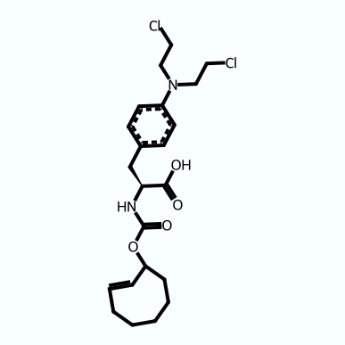 O=C(N[C@@H](Cc1ccc(N(CCCl)CCCl)cc1)C(=O)O)OC1/C=C/CCCCC1